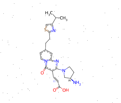 CC(C)c1csc(CCc2ccn3c(=O)c(/C=C/C(=O)O)c(N4CC[C@@H](N)C4)nc3c2)n1